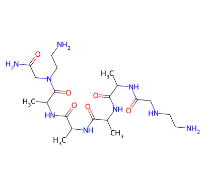 CC(NC(=O)CNCCN)C(=O)NC(C)C(=O)NC(C)C(=O)NC(C)C(=O)N(CCN)CC(N)=O